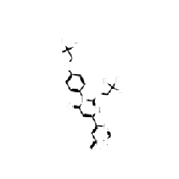 C=C/C=C(\N=C/N)c1cc(=O)n(-c2ccc(OCC(F)(F)F)cc2)c(OCC(F)(F)F)n1